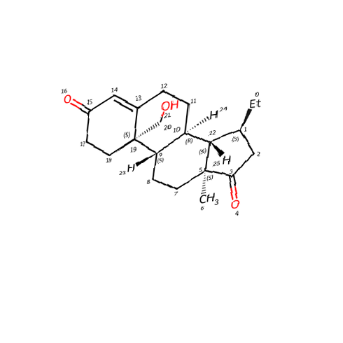 CC[C@H]1CC(=O)[C@@]2(C)CC[C@H]3[C@@H](CCC4=CC(=O)CC[C@@]43CO)[C@H]12